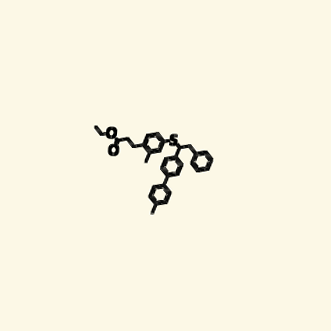 CCOC(=O)CCc1ccc(SC(Cc2ccccc2)c2ccc(-c3ccc(C)cc3)cc2)cc1C